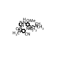 COc1cc(N(C)CCN(C)C)c(N)cc1Nc1nccc(-n2c(=O)n(C)c3cc(C#N)ccc32)n1